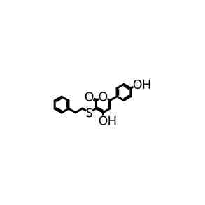 O=c1oc(-c2ccc(O)cc2)cc(O)c1SCCc1ccccc1